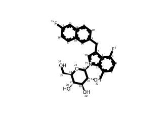 Cc1ccc(F)c2c(Cc3ccc4cc(F)ccc4c3)cn([C@@H]3O[C@H](CO)[C@@H](O)[C@H](O)[C@H]3O)c12